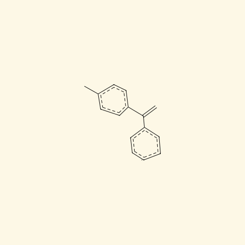 C=C(c1cc[c]cc1)c1ccc(C)cc1